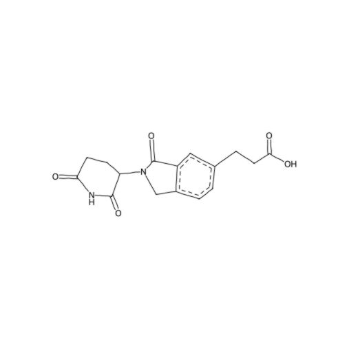 O=C(O)CCc1ccc2c(c1)C(=O)N(C1CCC(=O)NC1=O)C2